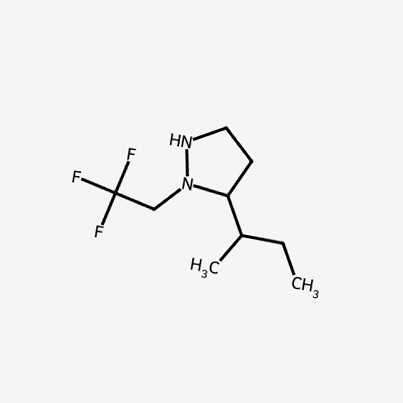 CCC(C)C1CCNN1CC(F)(F)F